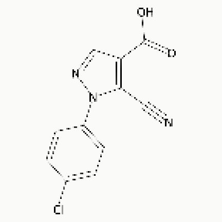 N#Cc1c(C(=O)O)cnn1-c1ccc(Cl)cc1